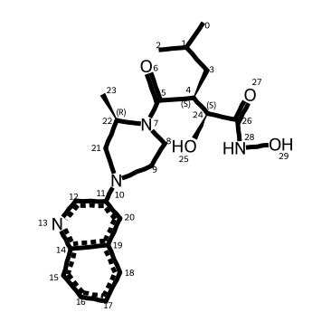 CC(C)C[C@H](C(=O)N1CCN(c2cnc3ccccc3c2)C[C@H]1C)[C@H](O)C(=O)NO